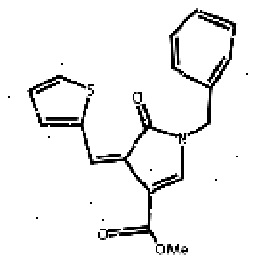 COC(=O)C1=CN(Cc2ccccc2)C(=O)/C1=C\c1cccs1